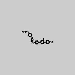 CCCCCC1CCC(OCC(F)(F)Oc2ccc(-c3ccc(-c4ccc(CC)cc4)c(F)c3F)cc2)CC1